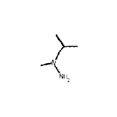 CC(C)N(C)N